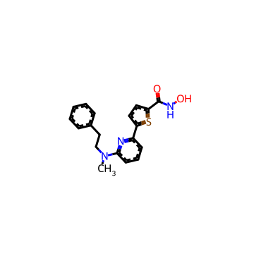 CN(CCc1ccccc1)c1cccc(-c2ccc(C(=O)NO)s2)n1